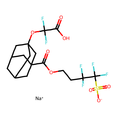 O=C(OCCC(F)(F)C(F)(F)S(=O)(=O)[O-])C12CC3CC(CC(OC(F)(F)C(=O)O)(C3)C1)C2.[Na+]